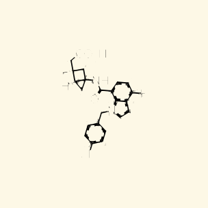 C[C@@]1(CC(=O)O)CC2(NC(=O)c3ccc(F)c4ccn(Cc5ccc(I)cc5)c34)C[C@H]21